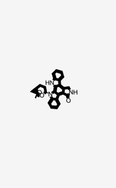 CO[C@]12CC[C@H](n3c4ccccc4c4c5c(c6c7ccccc7[nH]c6c43)CNC5=O)O[C@]1(C)C2